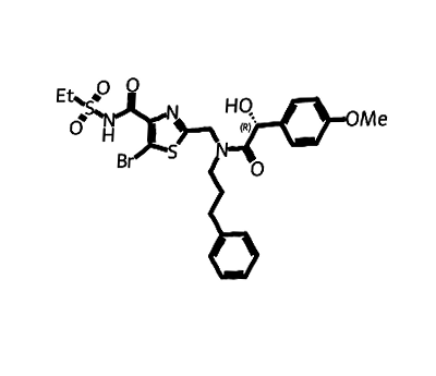 CCS(=O)(=O)NC(=O)c1nc(CN(CCCc2ccccc2)C(=O)[C@H](O)c2ccc(OC)cc2)sc1Br